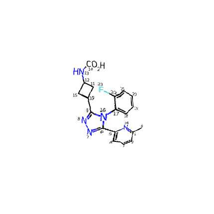 Cc1cccc(-c2nnc(C3CC(NC(=O)O)C3)n2-c2ccccc2F)n1